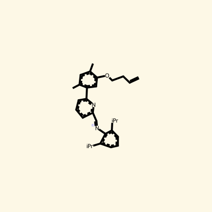 C=CCCOc1cc(-c2cccc(/C=N/c3c(C(C)C)cccc3C(C)C)n2)c(C)cc1C